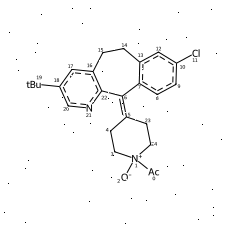 CC(=O)[N+]1([O-])CCC(=C2c3ccc(Cl)cc3CCc3cc(C(C)(C)C)cnc32)CC1